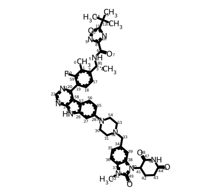 Cc1c([C@@H](C)NC(=O)c2noc(C(C)(C)C)n2)ccc(-c2ncnc3[nH]c4cc(N5CCN(Cc6ccc7c(c6)n(C6CCC(=O)NC6=O)c(=O)n7C)CC5)ccc4c23)c1F